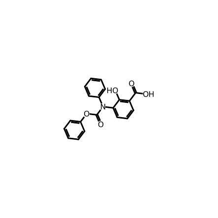 O=C(O)c1cccc(N(C(=O)Oc2ccccc2)c2ccccc2)c1O